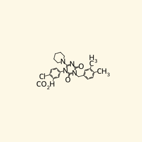 Cc1ccc(Cn2c(=O)nc(N3CCCCC3)n(-c3ccc(Cl)c(C(=O)O)c3)c2=O)cc1C